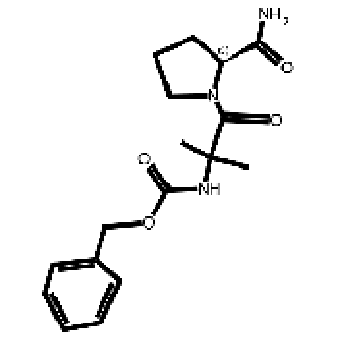 CC(C)(NC(=O)OCc1ccccc1)C(=O)N1CCC[C@H]1C(N)=O